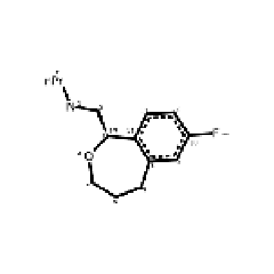 CCCNC[C@@H]1OCCCc2cc(F)ccc21